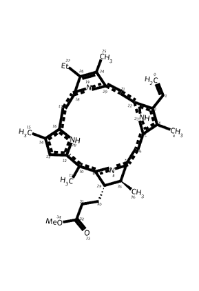 C=Cc1c(C)c2cc3nc(c(C)c4cc(C)c(cc5nc(cc1[nH]2)C(C)=C5CC)[nH]4)[C@@H](CCC(=O)OC)[C@@H]3C